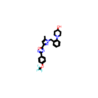 Cc1cc(-c2nc(-c3ccc(OC(F)(F)F)cc3)no2)nn1Cc1ccc[c]c1N1CCC(O)CC1